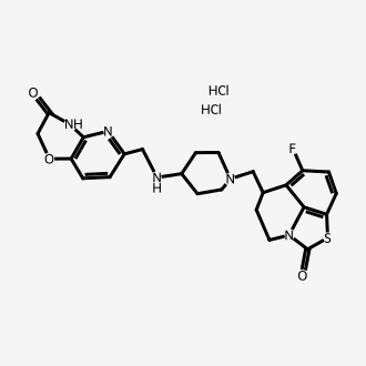 Cl.Cl.O=C1COc2ccc(CNC3CCN(CC4CCn5c(=O)sc6ccc(F)c4c65)CC3)nc2N1